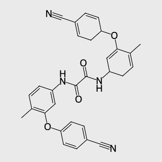 CC1=CCC(NC(=O)C(=O)Nc2ccc(C)c(Oc3ccc(C#N)cc3)c2)C=C1OC1C=CC(C#N)=CC1